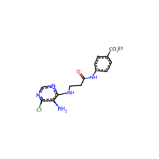 CCOC(=O)c1ccc(NC(=O)CCNc2ncnc(Cl)c2N)cc1